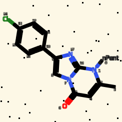 CCCCCn1c(C)cc(=O)n2cc(-c3ccc(Cl)cc3)nc12